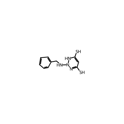 SC1=CC(S)=NN(NCc2ccccc2)N1